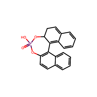 O=P1(O)Oc2ccc3ccccc3c2C2=c3ccccc3=CCC2O1